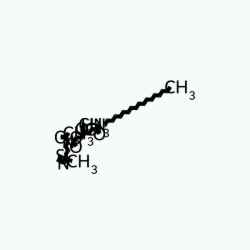 CCCCCCCCCCCCCCCCCCNC(=O)OCC(COC(=O)N(CCc1scnc1C)C(C)=O)OC